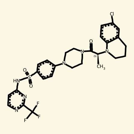 C[C@@H](C(=O)N1CCN(c2ccc(S(=O)(=O)Nc3ccnc(C(F)(F)F)n3)cc2)CC1)N1CCCc2cc(Cl)ccc21